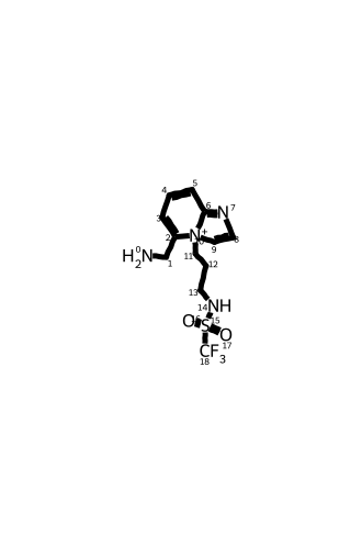 NCC1=CC=CC2=NC=C[N+]12CCCNS(=O)(=O)C(F)(F)F